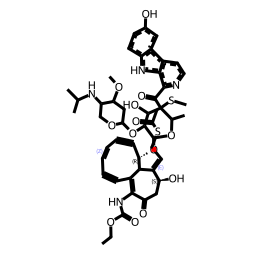 CCOC(=O)NC1=C2C#C/C=C\C#C[C@H](OC3OC(C)C(SC)(C(=O)c4nccc5c4[nH]c4ccc(O)cc45)C(O)C3OC3CC(OC)C(NC(C)C)CO3)C2/C(=C\CSC(C)=O)[C@@H](O)CC1=O